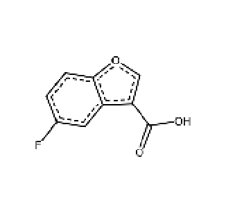 O=C(O)c1coc2ccc(F)cc12